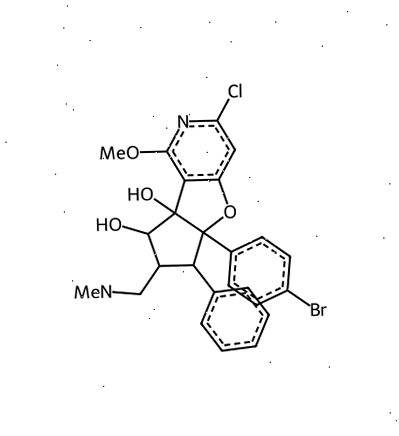 CNCC1C(O)C2(O)c3c(cc(Cl)nc3OC)OC2(c2ccc(Br)cc2)C1c1ccccc1